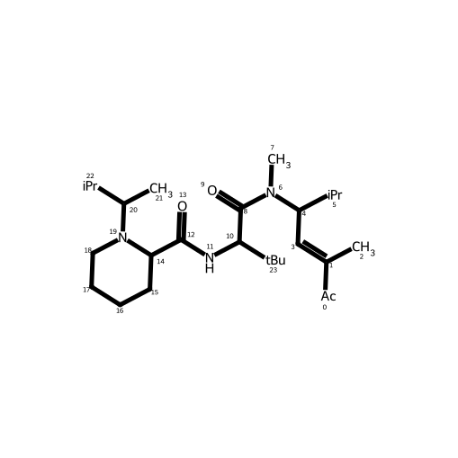 CC(=O)/C(C)=C/C(C(C)C)N(C)C(=O)C(NC(=O)C1CCCCN1C(C)C(C)C)C(C)(C)C